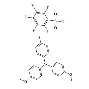 COc1ccc([S+](c2ccc(C)cc2)c2ccc(OC)cc2)cc1.O=S(=O)([O-])c1c(F)c(F)c(F)c(F)c1F